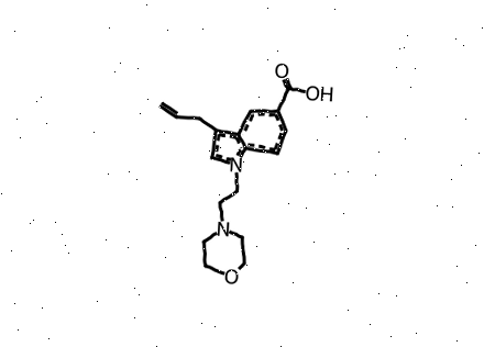 C=CCc1cn(CCN2CCOCC2)c2ccc(C(=O)O)cc12